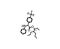 CCCC(CCC)[C@H](CC)OC(=O)C(Nc1ccccc1)c1ccc(C(F)(F)F)cc1